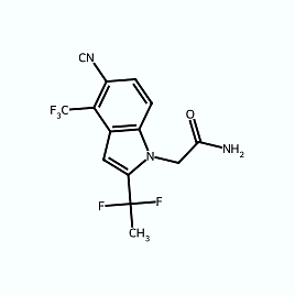 [C-]#[N+]c1ccc2c(cc(C(C)(F)F)n2CC(N)=O)c1C(F)(F)F